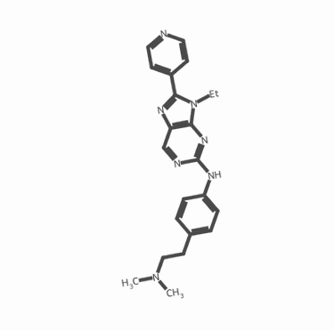 CCn1c(-c2ccncc2)nc2cnc(Nc3ccc(CCN(C)C)cc3)nc21